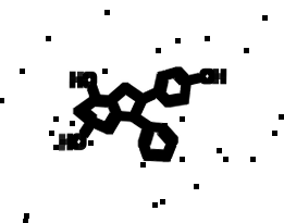 Oc1ccc(C2Cc3c(O)cc(O)cc3C2c2ccccc2)cc1